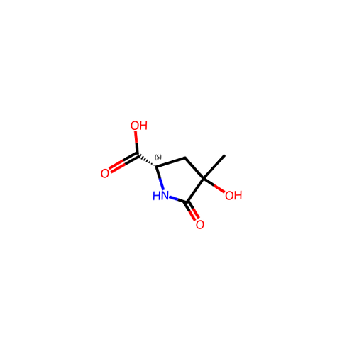 CC1(O)C[C@@H](C(=O)O)NC1=O